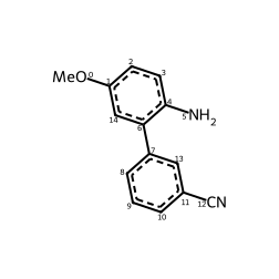 COc1ccc(N)c(-c2cccc(C#N)c2)c1